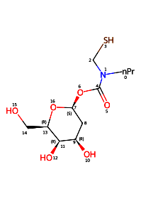 CCCN(CS)C(=O)O[C@H]1C[C@@H](O)[C@@H](O)[C@@H](CO)O1